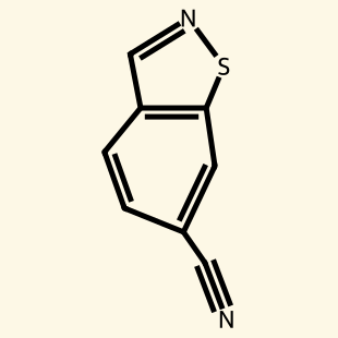 N#Cc1ccc2cnsc2c1